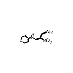 N=C/C(=C\NC1CCOCC1)[N+](=O)[O-]